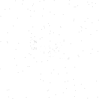 Cc1c(CC(=O)O)c2cc(F)ccc2n1S(=O)(=O)c1ccc(Nc2ccon2)cc1